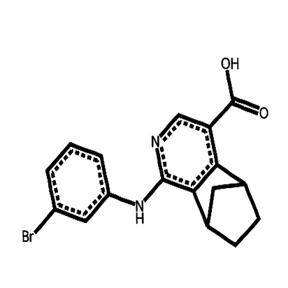 O=C(O)c1cnc(Nc2cccc(Br)c2)c2c1C1CCC2C1